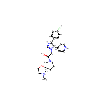 CN1CCOC2(CCCN(C(=O)Cn3cnc(-c4ccc(Cl)cc4)c3-c3ccncc3)C2)C1